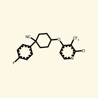 N#CC1(c2ccc(F)cc2)CCC(Oc2ccnc(Cl)c2C(F)(F)F)CC1